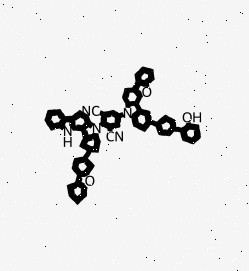 N#Cc1cc(N2c3ccc(-c4ccc(-c5ccccc5O)cc4)cc3C3c4oc5ccccc5c4C=CC32)cc(C#N)c1-n1c2ccc(-c3ccc4c(c3)oc3ccccc34)cc2c2c3[nH]c4ccccc4c3ccc21